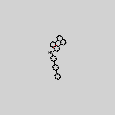 c1ccc(-c2ccc(-c3ccc(Nc4ccc(-c5cccc6cccc(-c7ccccc7)c56)cc4)cc3)cc2)cc1